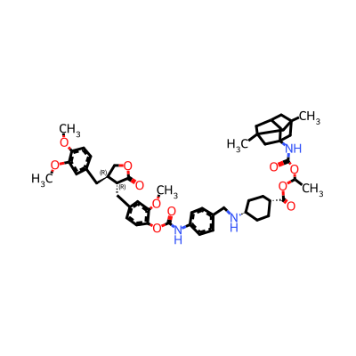 COc1ccc(C[C@H]2COC(=O)[C@@H]2Cc2ccc(OC(=O)Nc3ccc(CN[C@H]4CC[C@@H](C(=O)OC(C)OC(=O)NC56CC7CC(C)(CC(C)(C7)C5)C6)CC4)cc3)c(OC)c2)cc1OC